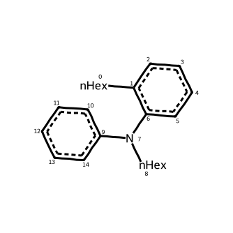 CCCCCCc1ccccc1N(CCCCCC)c1ccccc1